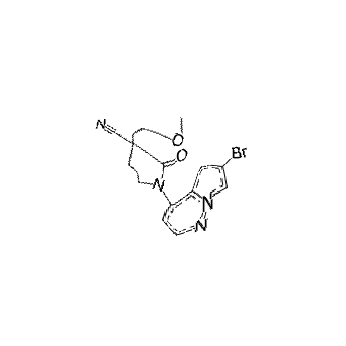 COCC1(C#N)CCN(c2ccnn3cc(Br)cc23)C1=O